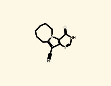 N#Cc1c2n(c3c(=O)[nH]cnc13)CCCCCC2